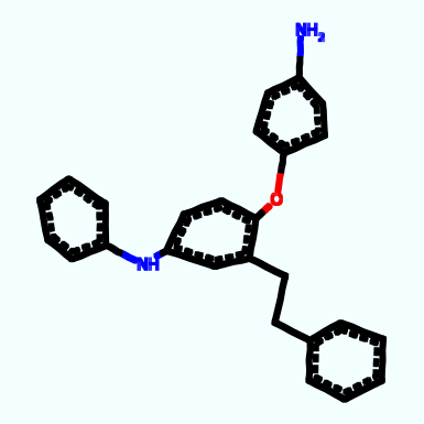 Nc1ccc(Oc2ccc(Nc3ccccc3)cc2CCc2ccccc2)cc1